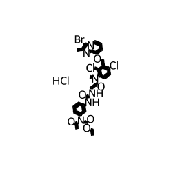 CCOC(=O)N(C(C)=O)c1cccc(NC(=O)NCC(=O)N(C)c2ccc(Cl)c(COc3cccn4c(Br)c(C)nc34)c2Cl)c1.Cl